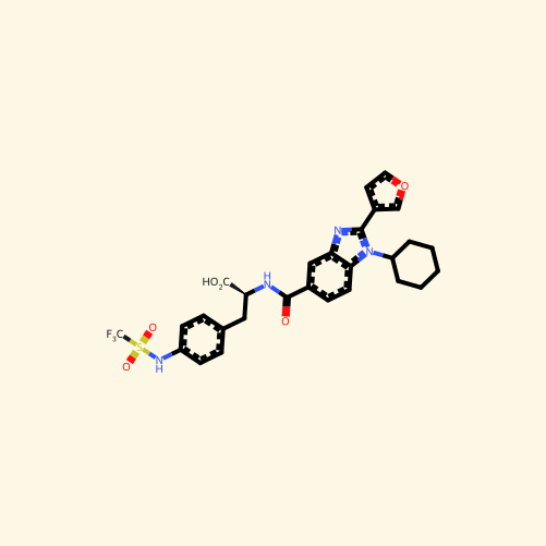 O=C(N[C@@H](Cc1ccc(NS(=O)(=O)C(F)(F)F)cc1)C(=O)O)c1ccc2c(c1)nc(-c1ccoc1)n2C1CCCCC1